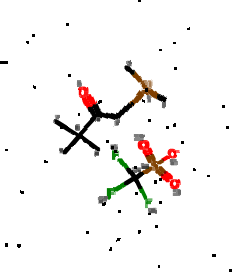 C[S+](C)CC(=O)C(C)(C)C.O=S(=O)([O-])C(F)(F)F